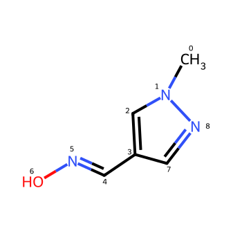 Cn1cc(C=NO)cn1